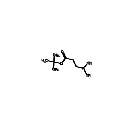 CCCN(CCC)CCC(=O)O[Si](C)(OC(C)=O)OC(C)=O